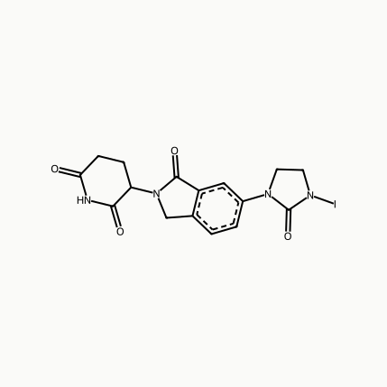 O=C1CCC(N2Cc3ccc(N4CCN(I)C4=O)cc3C2=O)C(=O)N1